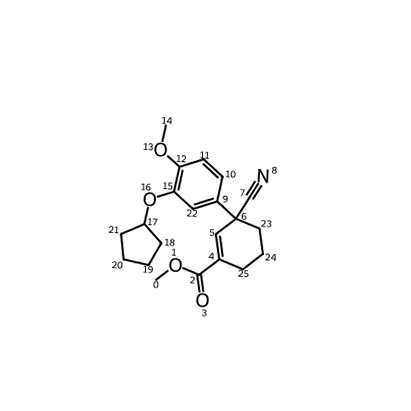 COC(=O)C1=CC(C#N)(c2ccc(OC)c(OC3CCCC3)c2)CCC1